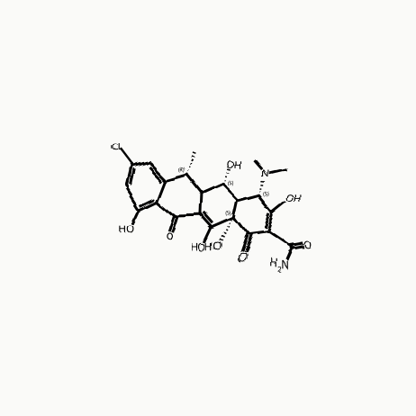 C[C@H]1c2cc(Cl)cc(O)c2C(=O)C2=C(O)[C@]3(O)C(=O)C(C(N)=O)=C(O)[C@@H](N(C)C)C3[C@@H](O)C21